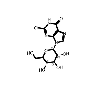 O=c1[nH]c(Cl)nc2c1ncn2[C@@H]1OC(CO)[C@@H](O)[C@H](O)[C@H]1O